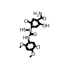 COc1cc(OC)c(NC(=O)N(S)c2cc(O)c(C(N)=O)cc2Cl)cc1Cl